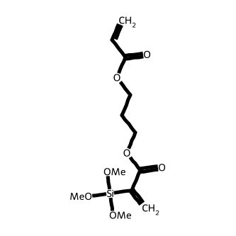 C=CC(=O)OCCCOC(=O)C(=C)[Si](OC)(OC)OC